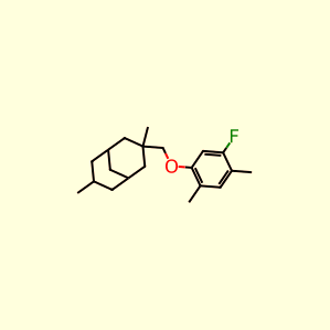 Cc1cc(C)c(OCC2(C)CC3CC(C)CC(C3)C2)cc1F